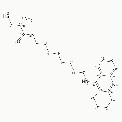 N[C@@H](CS)C(=O)NCCCCCCCCNc1c2c(nc3ccccc13)CCCC2